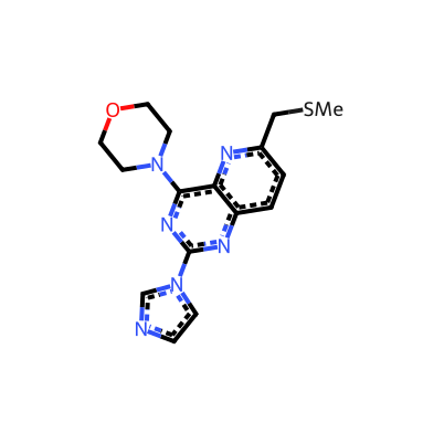 CSCc1ccc2nc(-n3ccnc3)nc(N3CCOCC3)c2n1